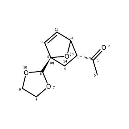 CC(=O)[C@@H]1C[C@]2(C3OCCO3)C=CC1O2